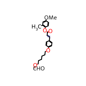 COc1ccc(OC(=O)/C=C/c2ccc(OCCCCCCOC=O)cc2)c(C)c1